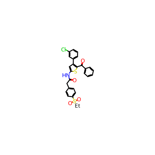 CCS(=O)(=O)c1ccc(CC(=O)Nc2cc(-c3cccc(Cl)c3)c(C(=O)c3ccccc3)s2)cc1